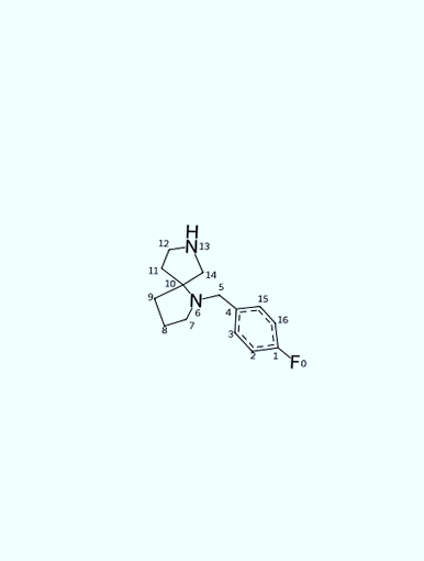 Fc1ccc(CN2CCCC23CCNC3)cc1